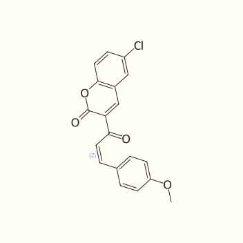 COc1ccc(/C=C\C(=O)c2cc3cc(Cl)ccc3oc2=O)cc1